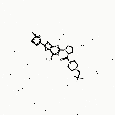 Cc1ccc(-c2nc3nc(N4CCC[C@H]4C(=O)N4CCN(CC(C)(C)F)CC4)nc(N)n3n2)o1